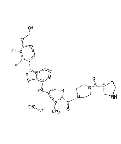 Cc1cc(Nc2nccn3c(-c4ccc(OCC#N)c(F)c4F)cnc23)ccc1C(=O)N1CCN(C(=O)[C@@H]2CCNC2)CC1.O=CO